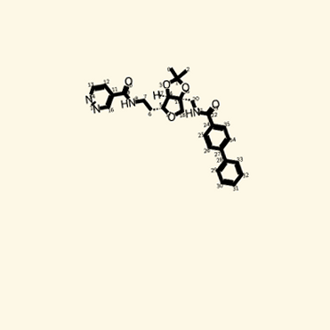 CC1(C)O[C@@H]2[C@@H](CCNC(=O)c3ccnnc3)OC[C@]2(CNC(=O)c2ccc(-c3ccccc3)cc2)O1